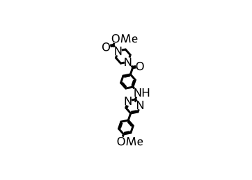 COC(=O)N1CCN(C(=O)c2cccc(Nc3ncc(-c4ccc(OC)cc4)cn3)c2)CC1